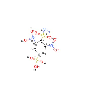 NS(=O)(=O)c1c([N+](=O)[O-])cc(S(=O)(=O)O)cc1[N+](=O)[O-]